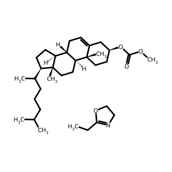 CCC1=NCCO1.COC(=O)O[C@H]1CC[C@@]2(C)C(=CC[C@H]3[C@@H]4CC[C@H](C(C)CCCC(C)C)[C@@]4(C)CC[C@@H]32)C1